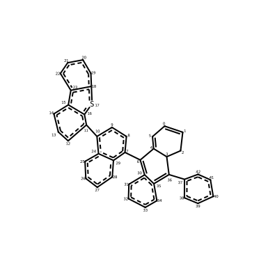 C1=CCC2C(=C1)C(c1ccc(-c3cccc4c3sc3ccccc34)c3ccccc13)=c1ccccc1=C2c1ccccc1